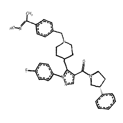 CC(=NO)c1ccc(CN2CCC(c3c(C(=O)N4CC[C@H](c5ccccc5)C4)cnn3-c3ccc(F)cc3)CC2)cc1